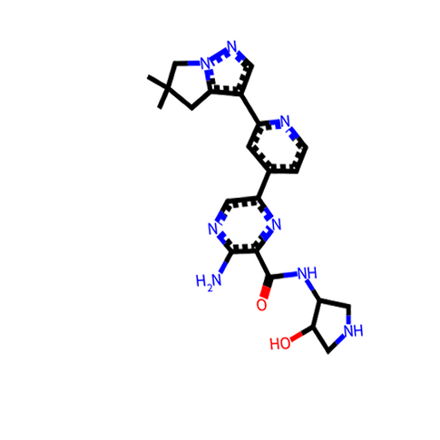 CC1(C)Cc2c(-c3cc(-c4cnc(N)c(C(=O)NC5CNCC5O)n4)ccn3)cnn2C1